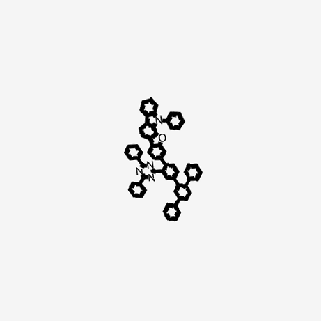 c1ccc(-c2ccc(-c3ccccc3)c(-c3ccc(-c4ccc5c(c4)oc4c5ccc5c6ccccc6n(-c6ccccc6)c54)c(-c4nc(-c5ccccc5)nc(-c5ccccc5)n4)c3)c2)cc1